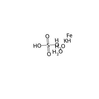 O.O.O=S(=O)(O)O.[Fe].[KH]